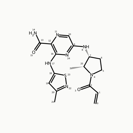 C=CC(=O)N1CC[C@@H](Nc2cnc(C(N)=O)c(Nc3cc(C)ns3)n2)[C@H]1C